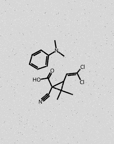 CC1(C)C(C=C(Cl)Cl)C1(C#N)C(=O)O.CN(C)c1ccccc1